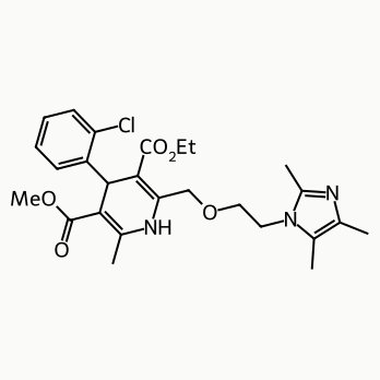 CCOC(=O)C1=C(COCCn2c(C)nc(C)c2C)NC(C)=C(C(=O)OC)C1c1ccccc1Cl